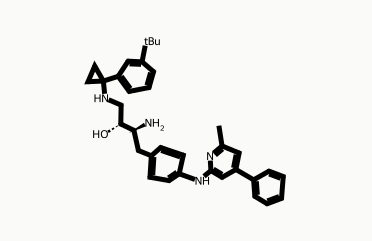 Cc1cc(-c2ccccc2)cc(Nc2ccc(C[C@H](N)[C@H](O)CNC3(c4cccc(C(C)(C)C)c4)CC3)cc2)n1